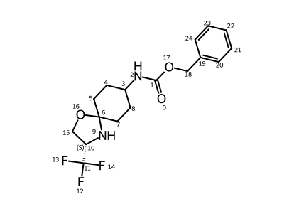 O=C(NC1CCC2(CC1)N[C@H](C(F)(F)F)CO2)OCc1ccccc1